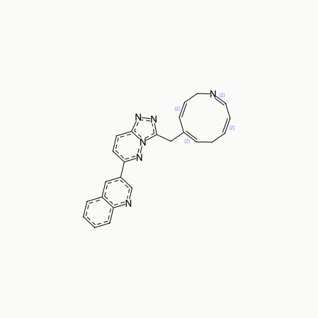 C1=C\C/C=C(Cc2nnc3ccc(-c4cnc5ccccc5c4)nn23)\C=C/C\N=C/1